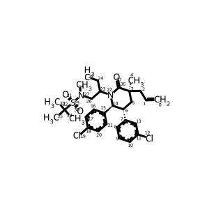 C=CC[C@@]1(C)C[C@H](c2cccc(Cl)c2)[C@@H](c2ccc(Cl)cc2)N(C(CC)CN(C)S(=O)(=O)C(C)(C)C)C1=O